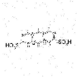 O=S(=O)(O)c1ccc2cc3ccc(S(=O)(=O)O)cc3cc2c1